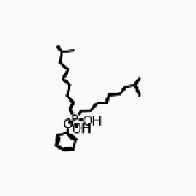 CC(C)CCCCCCCP(O)(O)(CCCCCCCC(C)C)Oc1ccccc1